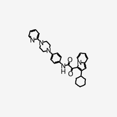 O=C(Nc1ccc(N2CCN(c3ccccn3)CC2)cc1)C(=O)c1c(C2CCCCC2)cc2ccccn12